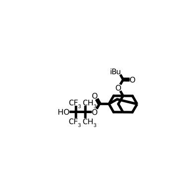 CCC(C)C(=O)OC12CC3CC(C1)CC(C(=O)OC(C)(C)C(O)(C(F)(F)F)C(F)(F)F)(C3)C2